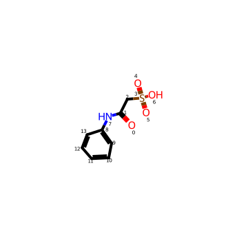 O=C(CS(=O)(=O)O)Nc1ccccc1